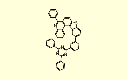 c1ccc(-c2nc(-c3ccccc3)nc(-c3cccc(-c4ccc5sc6ccc7c(-c8ccccc8)nc8ccccc8c7c6c5c4)c3)n2)cc1